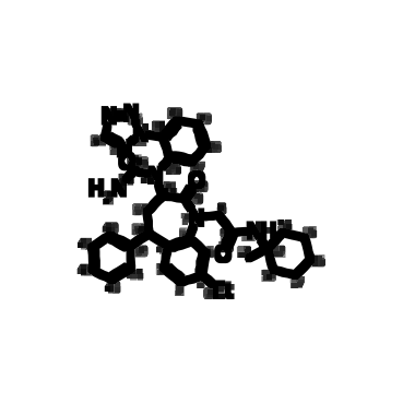 CCc1ccc2c(c1)N(CC(=O)NC1(C)CCCCC1)C(=O)C(N(C(N)=O)c1ccccc1-n1ncnn1)CC2c1ccccc1